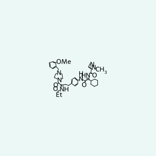 CCC(=O)N[C@H](CCc1ccc(NC(=O)[C@@H](NC(=O)c2ccnn2C)C2CCCCC2)cc1)C(=O)N1CCN(Cc2ccccc2OC)CC1